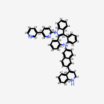 C1=C(c2ccc3cc(N4c5ccccc5-c5c(n(-c6ccc(-c7cccnc7)cn6)c6ccccc56)-c5ccccc54)ccc3c2)c2ccccc2NC1